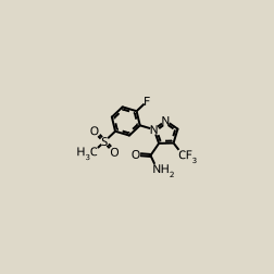 CS(=O)(=O)c1ccc(F)c(-n2ncc(C(F)(F)F)c2C(N)=O)c1